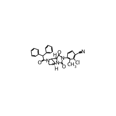 Cc1c(N2C(=O)[C@@H]3C4C[C@H](CN4C(=O)C(c4ccccc4)c4ccccc4)N3C2=O)ccc(C#N)c1Cl